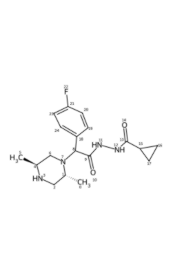 C[C@@H]1CN[C@@H](C)CN1C(C(=O)NNC(=O)C1CC1)c1ccc(F)cc1